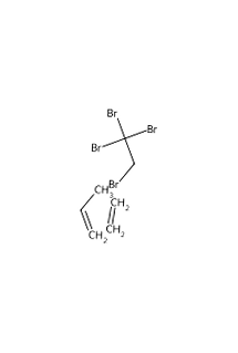 BrCC(Br)(Br)Br.C=C.C=CC